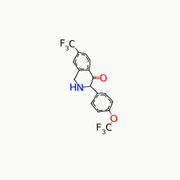 O=C1c2ccc(C(F)(F)F)cc2CNC1c1ccc(OC(F)(F)F)cc1